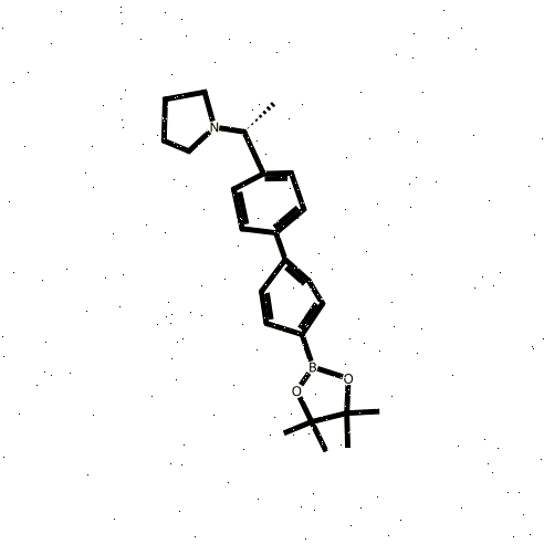 C[C@H](c1ccc(-c2ccc(B3OC(C)(C)C(C)(C)O3)cc2)cc1)N1CCCC1